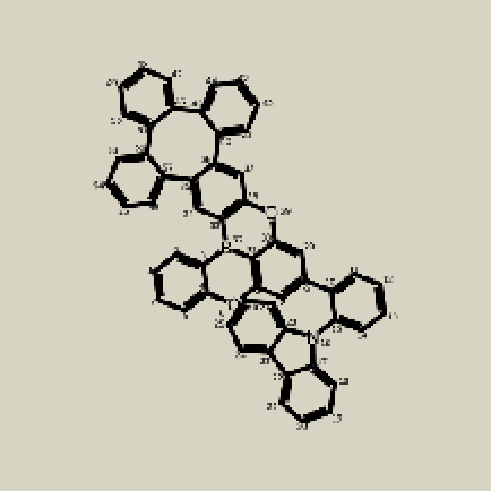 c1ccc2c(c1)Oc1cc(-c3ccccc3-n3c4ccccc4c4ccccc43)cc3c1B2c1cc2c(cc1O3)-c1ccccc1-c1ccccc1-c1ccccc1-2